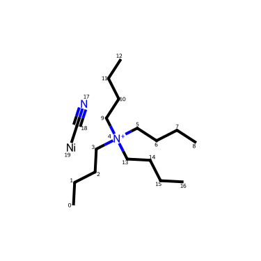 CCCC[N+](CCCC)(CCCC)CCCC.N#[C][Ni]